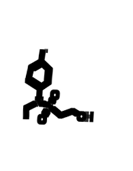 [CH2]c1ccc(N(CC)S(=O)(=O)CCO)cc1